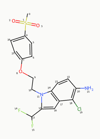 CS(=O)(=O)c1ccc(OCCn2c(C(F)F)cc3c(Cl)c(N)ccc32)cc1